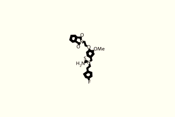 COc1cc(CN(CCc2ccc(F)cc2)C(N)=S)ccc1OCCN1C(=O)c2ccccc2C1=O